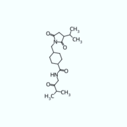 CC(C)C(=O)CNC(=O)C1CCC(CN2C(=O)CC(C(C)C)C2=O)CC1